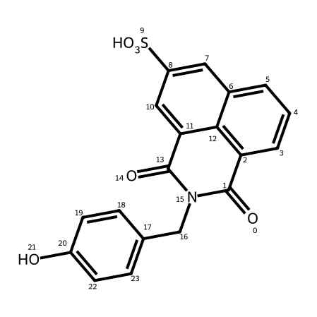 O=C1c2cccc3cc(S(=O)(=O)O)cc(c23)C(=O)N1Cc1ccc(O)cc1